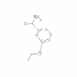 NC(=O)c1cccc(OCF)c1